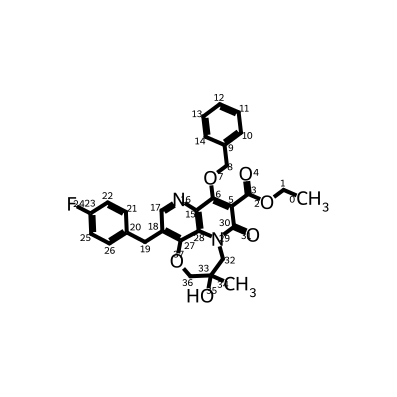 CCOC(=O)c1c(OCc2ccccc2)c2ncc(Cc3ccc(F)cc3)c3c2n(c1=O)CC(C)(O)CO3